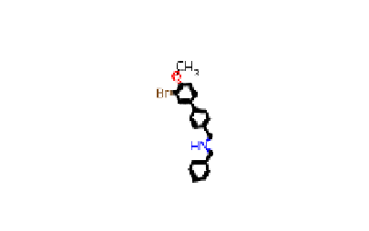 COc1ccc(-c2ccc(CNCc3ccccc3)cc2)cc1Br